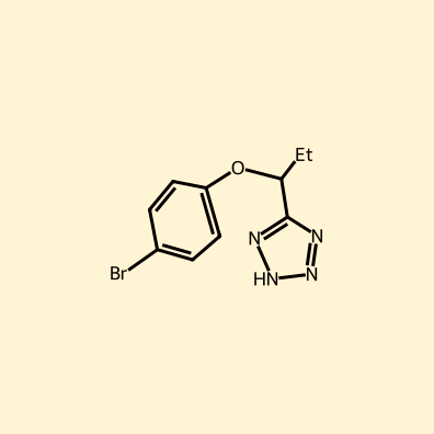 CCC(Oc1ccc(Br)cc1)c1nn[nH]n1